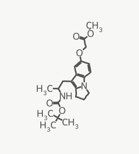 COC(=O)COc1ccc2c(c1)c(CC(C)NC(=O)OC(C)(C)C)c1n2CCC1